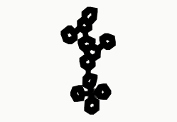 c1ccc(-c2cc3ccccc3cc2-c2ccc3c(c2)c(-c2ccccc2)cc2cc(-c4ccc([Si](c5ccccc5)(c5ccccc5)c5ccccc5)cc4)ccc23)cc1